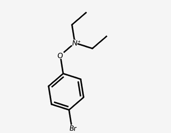 CC[N+](CC)Oc1ccc(Br)cc1